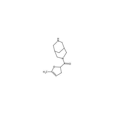 CC1=CCC(C(=O)N2CC3CNCC(C3)C2)O1